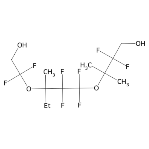 CCC(C)(OC(F)(F)CO)C(F)(F)C(F)(F)OC(C)(C)C(F)(F)CO